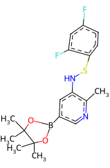 Cc1ncc(B2OC(C)(C)C(C)(C)O2)cc1NSc1ccc(F)cc1F